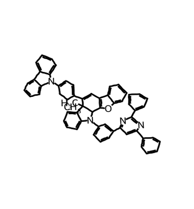 C[C@@H]1CC(n2c3ccccc3c3ccccc32)=CC=C1C1=Cc2c(oc3ccccc23)C2N(c3cccc(-c4cc(-c5ccccc5)nc(-c5ccccc5)n4)c3)c3ccccc3C12C